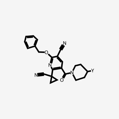 N#Cc1cc(C(=O)N2CC[CH]([Y])CC2)c(C2(C#N)CC2)nc1OCc1ccccc1